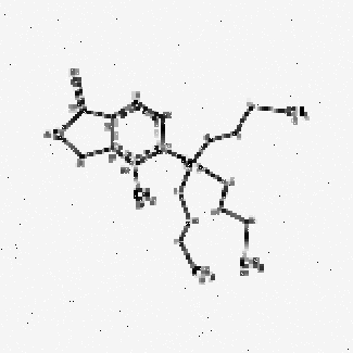 CCC[CH2][Sn]([CH2]CCC)([CH2]CCC)[c]1ccc2c(c1C)COC2=O